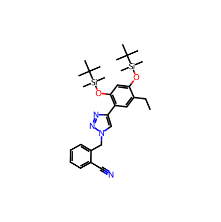 CCc1cc(-c2cn(Cc3ccccc3C#N)nn2)c(O[Si](C)(C)C(C)(C)C)cc1O[Si](C)(C)C(C)(C)C